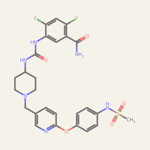 CS(=O)(=O)Nc1ccc(Oc2ccc(CN3CCC(NC(=O)Nc4cc(C(N)=O)c(F)cc4F)CC3)cn2)cc1